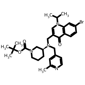 Cc1cc(CN(Cc2cn(C(C)C)c3cc(Br)ccc3c2=O)[C@H]2CCCN(C(=O)OC(C)(C)C)C2)ccn1